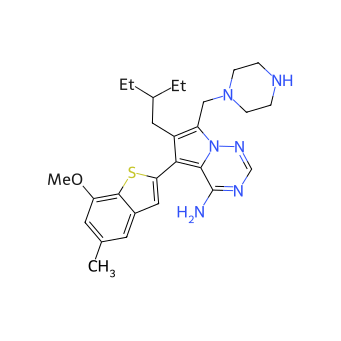 CCC(CC)Cc1c(-c2cc3cc(C)cc(OC)c3s2)c2c(N)ncnn2c1CN1CCNCC1